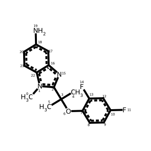 Cn1c(C(C)(C)Oc2ccc(F)cc2F)nc2cc(N)ccc21